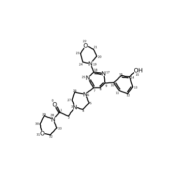 O=C(CN1CCN(c2cc(-c3cccc(O)c3)nc(N3CCOCC3)n2)CC1)N1CCOCC1